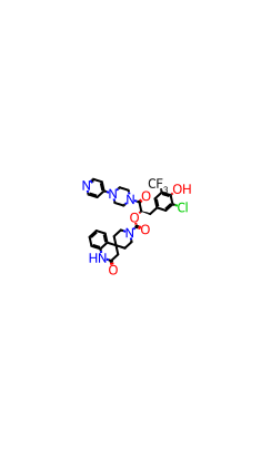 O=C1CC2(CCN(C(=O)O[C@H](Cc3cc(Cl)c(O)c(C(F)(F)F)c3)C(=O)N3CCN(c4ccncc4)CC3)CC2)c2ccccc2N1